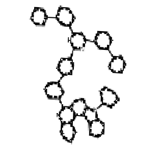 c1ccc(-c2cccc(-c3cc(-c4cccc(-c5ccccc5)c4)nc(-c4ccc(-c5cccc(-c6nc7ccccc7c7c6ccc6c7c7ccccc7n6-c6ccccc6)c5)cc4)n3)c2)cc1